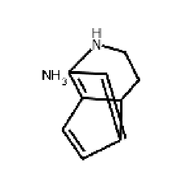 C1=CC2=C3C=C1C2CCN3.N